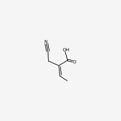 CC=C(CC#N)C(=O)O